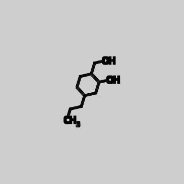 CCCC1CCC(CO)C(O)C1